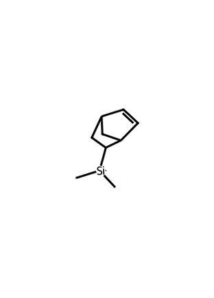 C[Si](C)C1CC2C=CC1C2